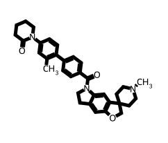 Cc1cc(N2CCCCC2=O)ccc1-c1ccc(C(=O)N2CCc3cc4c(cc32)C2(CCN(C)CC2)CO4)cc1